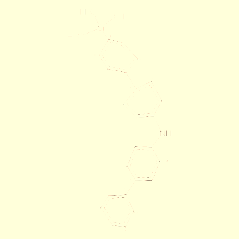 C[Si](C)(C)c1ccc(-c2ccc(Nc3ccc(-c4ccccc4)cc3)cc2)cc1